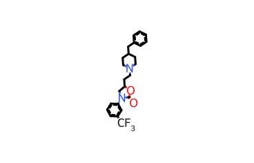 O=C1OC(CCN2CCC(Cc3ccccc3)CC2)CN1c1cccc(C(F)(F)F)c1